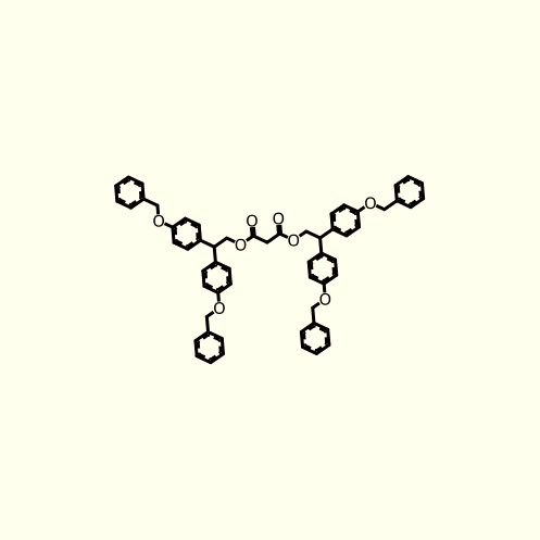 O=C(CC(=O)OCC(c1ccc(OCc2ccccc2)cc1)c1ccc(OCc2ccccc2)cc1)OCC(c1ccc(OCc2ccccc2)cc1)c1ccc(OCc2ccccc2)cc1